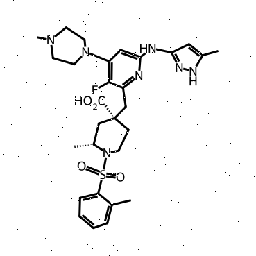 Cc1cc(Nc2cc(N3CCN(C)CC3)c(F)c(C[C@@]3(C(=O)O)CCN(S(=O)(=O)c4ccccc4C)[C@H](C)C3)n2)n[nH]1